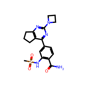 CS(=O)(=O)Nc1cc(-c2nc(N3CCC3)nc3c2CCC3)ccc1C(N)=O